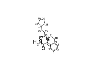 NC(=O)C1c2cc[c]cc2CCN1C(=O)CCC1CCCC1